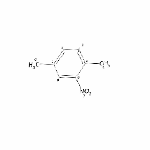 CC1=CI=C(C)C([N+](=O)[O-])=C1